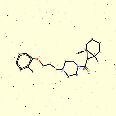 Cc1ccccc1OCCCN1CCN(C(=O)C2[C@H]3CCCC[C@@H]23)CC1